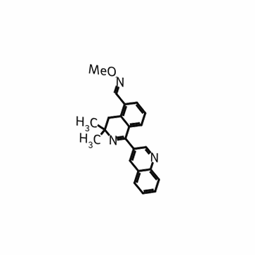 CON=Cc1cccc2c1CC(C)(C)N=C2c1cnc2ccccc2c1